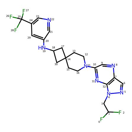 FC(F)Cn1ncc2ncc(N3CCC4(CC3)CC(Nc3cncc(C(F)(F)F)c3)C4)nc21